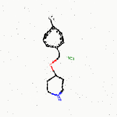 Cl.FC(F)(F)c1ccc(COC2CCNCC2)cc1